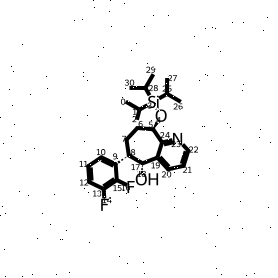 CC(C)[Si](O[C@@H]1CC[C@@H](c2cccc(F)c2F)[C@@H](O)c2cccnc21)(C(C)C)C(C)C